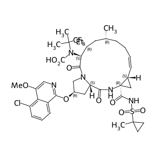 CC[C@@H]1C[C@H](C)CCC=C[C@@H]2C[C@@]2(C(=O)NS(=O)(=O)C2(C)CC2)NC(=O)[C@@H]2C[C@@H](Oc3ncc(OC)c4c(Cl)cccc34)CN2C(=O)[C@H]1N(C(=O)O)C(C)(C)C(F)(F)F